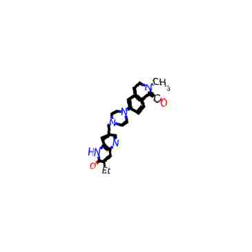 CCc1cc2ncc(CN3CCN(c4ccc5c(c4)CCN(C)C5=C=O)CC3)cc2[nH]c1=O